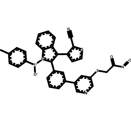 Cc1ccc([S+]([O-])n2c(-c3cccc(-c4cncc(SCC(=O)N=O)c4)c3)c(-c3ccsc3C#N)c3ccccc32)cc1